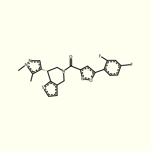 Cc1c([C@@H]2CN(C(=O)c3cc(-c4ccc(F)cc4F)on3)Cc3ccsc32)cnn1C